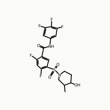 CC1CN(S(=O)(=O)c2cc(C(=O)Nc3cc(F)c(F)c(F)c3)c(F)cc2F)CCC1O